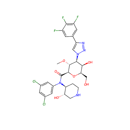 CO[C@@H]1[C@@H](n2cc(-c3cc(F)c(F)c(F)c3)nn2)[C@@H](O)[C@@H](CO)O[C@H]1C(=O)N(c1cc(Cl)cc(Cl)c1)[C@H]1CCNC[C@@H]1O